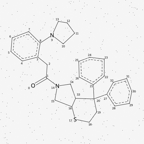 O=C(Cc1ccccc1N1CCCC1)N1CC2SCCC(c3ccccc3)(c3ccccc3)C2C1